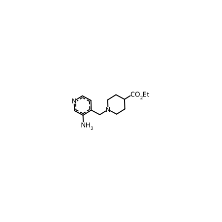 CCOC(=O)C1CCN(Cc2ccncc2N)CC1